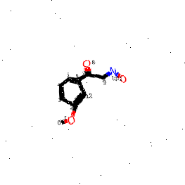 COc1cccc(C(=O)CN=O)c1